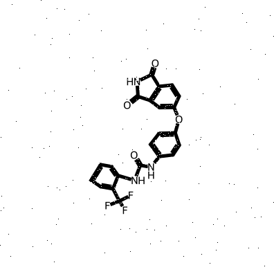 O=C(Nc1ccc(Oc2ccc3c(c2)C(=O)NC3=O)cc1)Nc1ccccc1C(F)(F)F